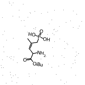 CC(=CC(N)C(=O)OCC(C)C)CP(=O)(O)O